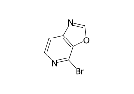 Brc1nccc2ncoc12